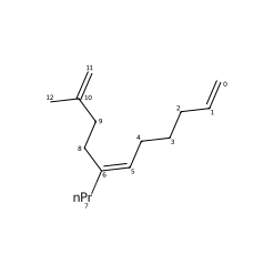 C=CCCCC=C(CCC)CCC(=C)C